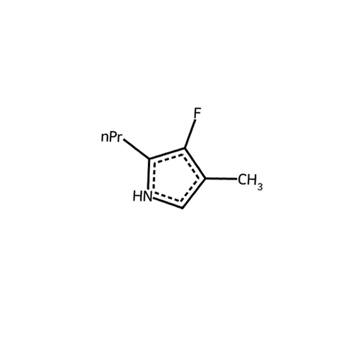 CCCc1[nH]cc(C)c1F